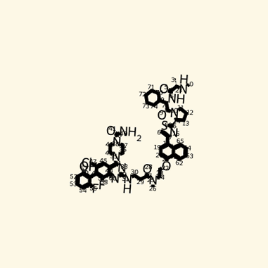 CN[C@@H](C)C(=O)N[C@H](C(=O)N1CCC[C@H]1c1nc(-c2ccc(OCCN(C)C(=O)CCNc3nc(N4CCN(C(N)=O)CC4)c4cc(Cl)c(-c5c(O)cccc5F)c(F)c4n3)c3ccccc23)cs1)C1CCCCC1